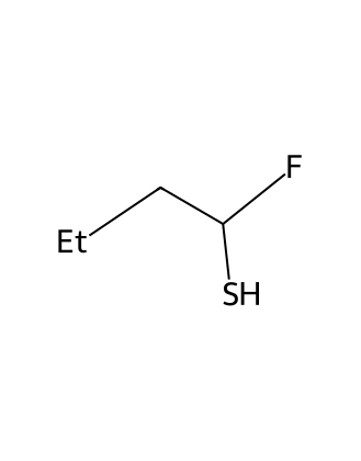 [CH2]CCC(F)S